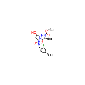 C#Cc1ccc(CNC(=O)[C@@H]2C[C@@H](O)CN2C(=O)[C@@H](NC(=O)OC(C)(C)C)C(C)(C)C)c(F)c1